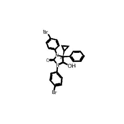 O=C1N(c2ccc(Br)cc2)C(O)[C@](c2ccccc2)(C2CC2)N1c1ccc(Br)cc1